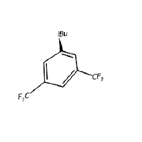 CC[C@H](C)c1cc(C(F)(F)F)cc(C(F)(F)F)c1